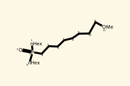 CCCCCCP(=O)(CCCCCC)CCCCCCCCOC